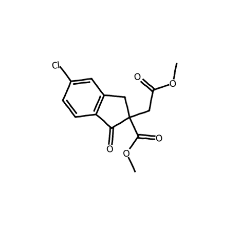 COC(=O)CC1(C(=O)OC)Cc2cc(Cl)ccc2C1=O